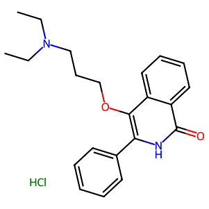 CCN(CC)CCCOc1c(-c2ccccc2)[nH]c(=O)c2ccccc12.Cl